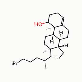 CC(C)CCC[C@@H](C)[C@H]1CC[C@H]2[C@@H]3CCC4=CCCC(O)[C@]4(C)[C@H]3CC[C@]12C